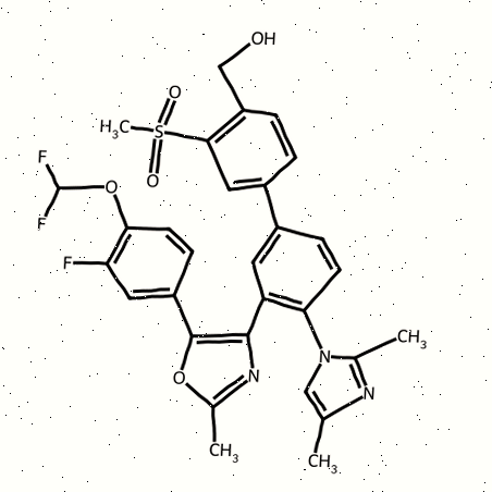 Cc1cn(-c2ccc(-c3ccc(CO)c(S(C)(=O)=O)c3)cc2-c2nc(C)oc2-c2ccc(OC(F)F)c(F)c2)c(C)n1